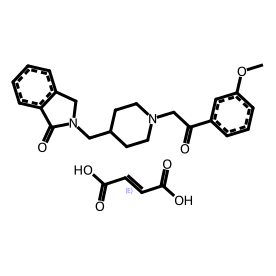 COc1cccc(C(=O)CN2CCC(CN3Cc4ccccc4C3=O)CC2)c1.O=C(O)/C=C/C(=O)O